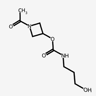 CC(=O)N1CC(OC(=O)NCCCO)C1